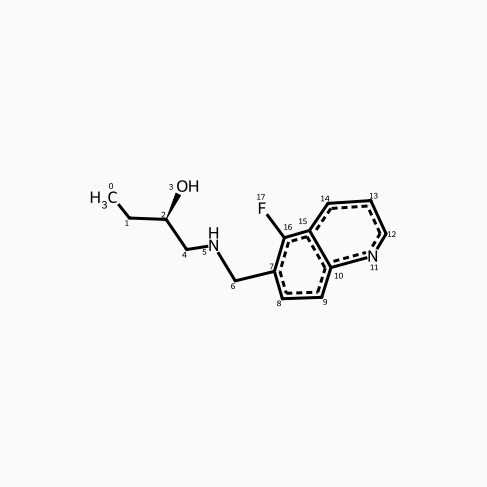 CC[C@@H](O)CNCc1ccc2ncccc2c1F